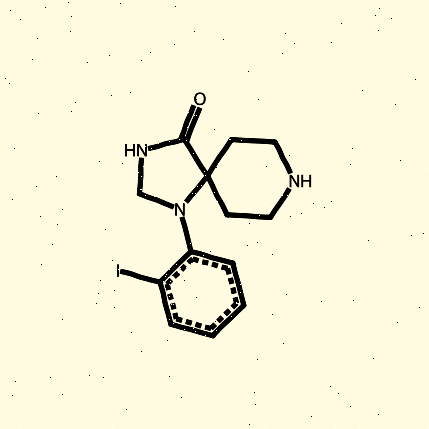 O=C1NCN(c2ccccc2I)C12CCNCC2